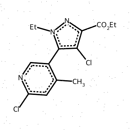 CCOC(=O)c1nn(CC)c(-c2cnc(Cl)cc2C)c1Cl